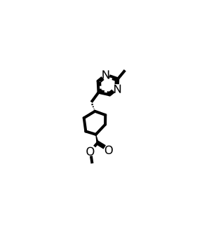 COC(=O)[C@H]1CC[C@H](Cc2cnc(C)nc2)CC1